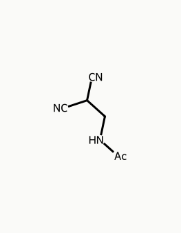 CC(=O)NCC(C#N)C#N